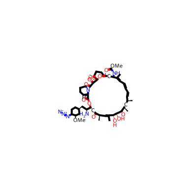 COC(=O)NC1C[C@@H]2CC[C@@H](C)[C@@](O)(O2)C(=O)C(=O)N2CCCC[C@H]2C(=O)O[C@H]([C@H](N)C[C@@H]2CCC(N=[N+]=[N-])[C@H](OC)C2)CC(=O)[C@H](C)/C=C(\C)[C@@H](O)[C@@H](O)C(=O)[C@H](C)C[C@H](C)/C=C/C=C/C=C/1C